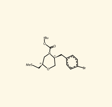 CSC[C@H]1CN(C(=O)OC(C)(C)C)[C@@H](Cc2ccc(Br)cc2)CO1